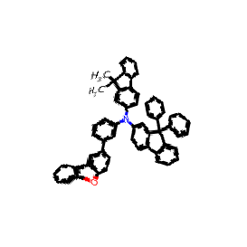 CC1(C)c2ccccc2-c2ccc(N(c3cccc(-c4ccc5oc6ccccc6c5c4)c3)c3ccc4c(c3)C(c3ccccc3)(c3ccccc3)c3ccccc3-4)cc21